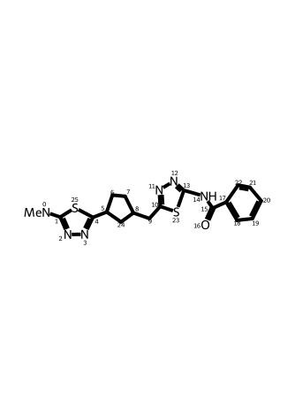 CNc1nnc(C2CCC(Cc3nnc(NC(=O)c4ccccc4)s3)C2)s1